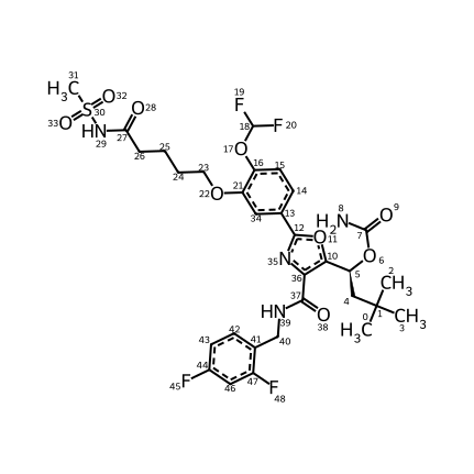 CC(C)(C)C[C@H](OC(N)=O)c1oc(-c2ccc(OC(F)F)c(OCCCCC(=O)NS(C)(=O)=O)c2)nc1C(=O)NCc1ccc(F)cc1F